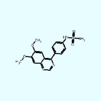 COc1cc2ncnc(-c3ccc(NS(N)(=O)=O)cc3)c2cc1OC